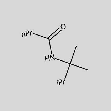 CCCC(=O)NC(C)(C)C(C)C